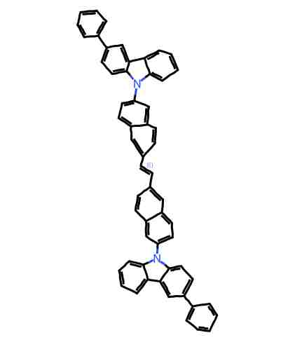 C(=C\c1ccc2cc(-n3c4ccccc4c4cc(-c5ccccc5)ccc43)ccc2c1)/c1ccc2cc(-n3c4ccccc4c4cc(-c5ccccc5)ccc43)ccc2c1